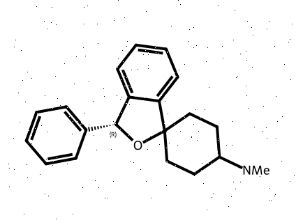 CNC1CCC2(CC1)O[C@H](c1ccccc1)c1ccccc12